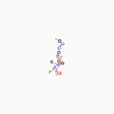 O=C(NS(=O)(=O)c1ccc(N[C@H](CCN(CCCCCl)C(=O)OCOP(=O)(O)O)CSc2ccccc2)c(S(=O)(=O)C(F)(F)F)c1)c1ccc(N2CCN(CC3=C(c4ccc(Cl)cc4)CCCC3)CC2)cc1